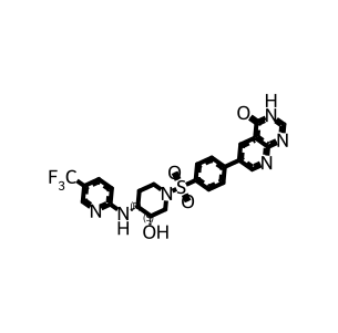 O=c1[nH]cnc2ncc(-c3ccc(S(=O)(=O)N4CC[C@@H](Nc5ccc(C(F)(F)F)cn5)[C@@H](O)C4)cc3)cc12